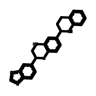 c1ccc2c(c1)CCC(c1ccc3c(c1)NCC(c1ccc4ncoc4c1)O3)N2